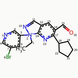 CC[N+]1(c2cncc(Br)c2)N=Cc2cc(C=O)c(C3CCCC3)nc21